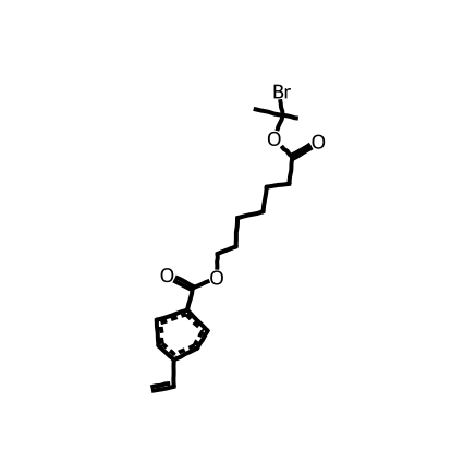 C=Cc1ccc(C(=O)OCCCCCCC(=O)OC(C)(C)Br)cc1